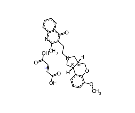 COc1cccc2c1OC[C@H]1CN(CCc3c(C)nc4ccccn4c3=O)C[C@@H]21.O=C(O)/C=C/C(=O)O